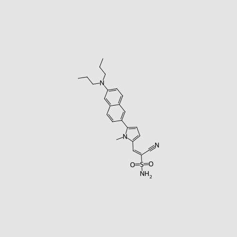 CCCN(CCC)c1ccc2cc(-c3ccc(/C=C(\C#N)S(N)(=O)=O)n3C)ccc2c1